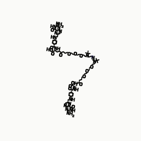 CC(C)(C)N(C/C=N\CN(CCOCCOCCOCCCC(=O)CC[C@H](NC(=O)c1ccc(NCc2cnc3nc(N)[nH]c(=O)c3n2)cc1)C(=O)O)C(C)(C)C)CCOCCOCCOCCCC(=O)CCC(NC(=O)c1ccc(NCc2cnc3nc(N)[nH]c(=O)c3n2)cc1)C(=O)O